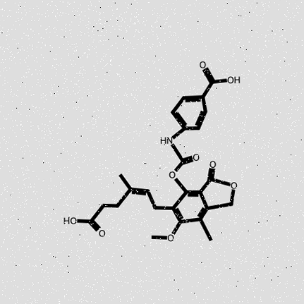 COc1c(C)c2c(c(OC(=O)Nc3ccc(C(=O)O)cc3)c1CC=C(C)CCC(=O)O)C(=O)OC2